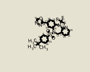 CC(C)(C)c1ccc(S(=O)(=O)N2Cc3cccnc3N(C(F)(F)F)c3ccc(-c4nnco4)cc32)cc1